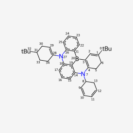 CC(C)(C)C1=CC2=C(CC1)N(C1C=CC=CC1)c1cccc3c1B2c1ccccc1N3C1=CCC(C(C)(C)C)CC1